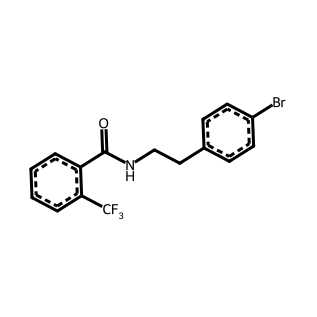 O=C(NCCc1ccc(Br)cc1)c1ccccc1C(F)(F)F